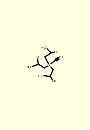 C#C[Si](CC(C)C)(CC(C)C)CC(C)C